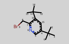 CC(C)(C)c1cnc(CBr)c(C(C)(C)C)c1